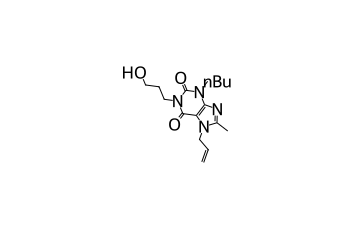 C=CCn1c(C)nc2c1c(=O)n(CCCO)c(=O)n2CCCC